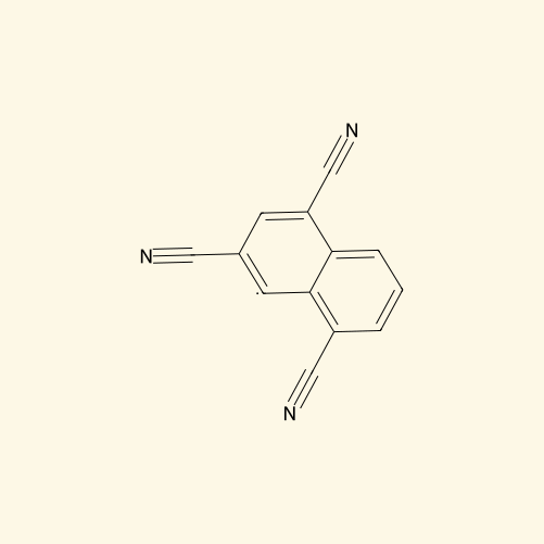 N#Cc1[c]c2c(C#N)cccc2c(C#N)c1